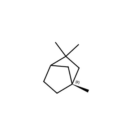 CC1(C)C[C@]2(C)CCC1C2